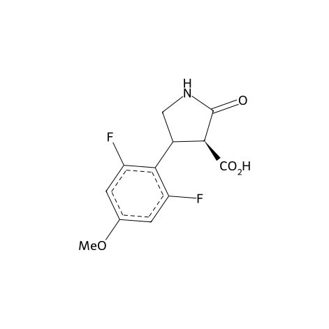 COc1cc(F)c(C2CNC(=O)[C@H]2C(=O)O)c(F)c1